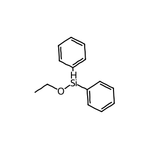 CCO[SiH](c1ccccc1)c1ccccc1